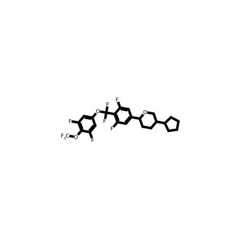 Fc1cc(OC(F)(F)c2c(F)cc(C3CCC(C4CCCC4)CO3)cc2F)cc(F)c1OC(F)(F)F